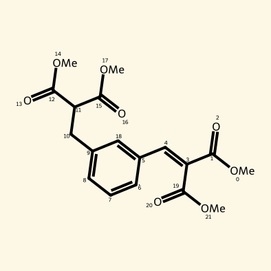 COC(=O)C(=Cc1[c]ccc(CC(C(=O)OC)C(=O)OC)c1)C(=O)OC